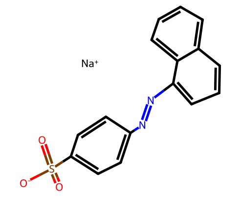 O=S(=O)([O-])c1ccc(N=Nc2cccc3ccccc23)cc1.[Na+]